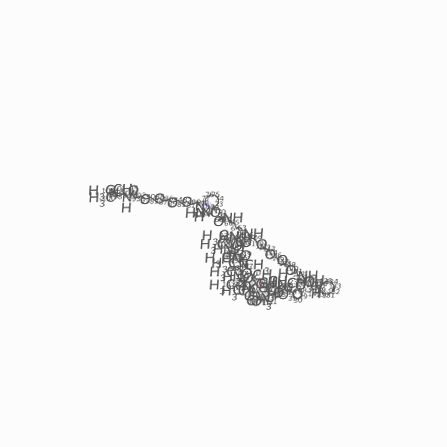 CC[C@H](C)[C@@H]([C@@H](CC(=O)N1CCC[C@H]1[C@H](OC)[C@@H](C)C(=O)N[C@H](C)[C@@H](O)c1ccccc1)OC)N(C)C(=O)[C@@H](NC(=O)[C@H](C(C)C)N(C)C(=O)NC(=O)[C@H](C)NC(=O)[C@@H](NC(=O)[C@@H](CCCCNC(=O)COC1CCCCC/C(NCCOCCOCCOCCOCCC(=O)NCC[N+](C)(C)C)=C\1N=N)NC(=O)CCOCCOCCOCCOCCNC(=O)OC[C@@H]1[C@@H]2CCC#CCC[C@@H]21)C(C)C)C(C)C